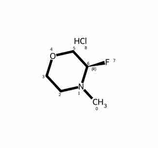 CN1CCOC[C@H]1F.Cl